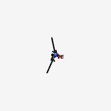 CCCCCCCCCCCCCCCCCCC(=CC(CCC)CCc1ccccc1C1=CC(CC)=C(c2ccccc2CCC(C=C(CCC)CCCCCCCCCCCCCCCCCC)CCC)[N+]1=[N-])CCC.[H-].[H-].[Pd]